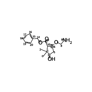 CC1(C)[C@H](O)CB(OCN)[C@@H]1C(=O)OCc1ccccc1